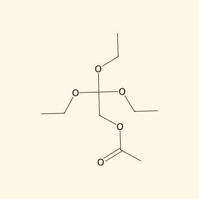 CCOC(COC(C)=O)(OCC)OCC